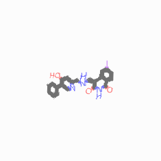 O=C1NC(=O)c2ccc(I)cc2/C1=C/NCc1cc(O)c(-c2ccccc2)cn1